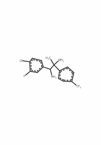 CC(N)(c1ccc(C(F)(F)F)cc1)C(N)c1ccc(Cl)c(F)c1